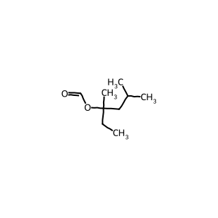 CCC(C)(CC(C)C)OC=O